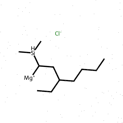 CCCCC(CC)C[CH]([Mg+])[SiH](C)C.[Cl-]